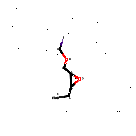 CCCCCC1OC1COCI